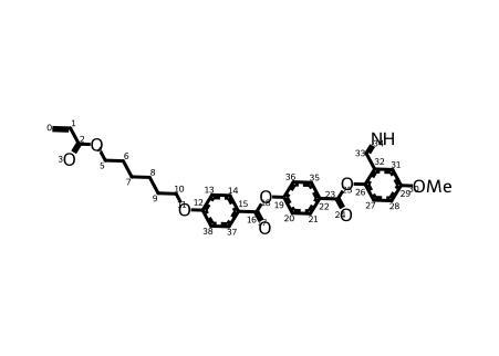 C=CC(=O)OCCCCCCOc1ccc(C(=O)Oc2ccc(C(=O)Oc3ccc(OC)cc3C=N)cc2)cc1